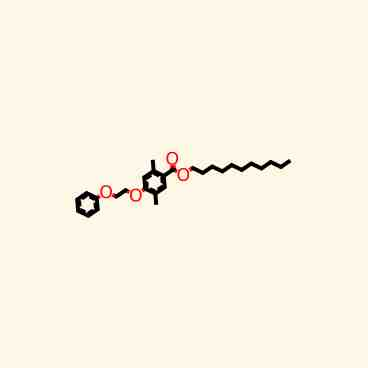 CCCCCCCCCCCOC(=O)c1cc(C)c(OCCOc2ccccc2)cc1C